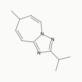 CC1C=Cc2nc(C(C)C)nn2C=C1